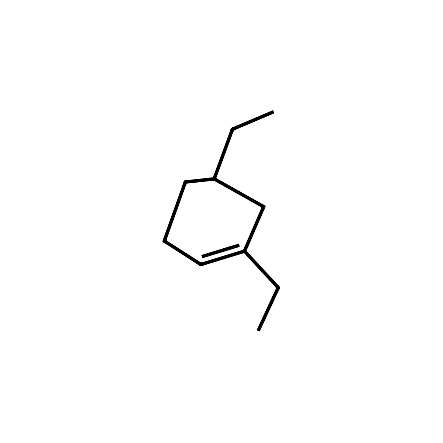 CCC1=CCCC(CC)C1